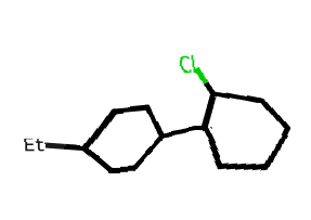 CCC1CCC([C]2CCCCC2Cl)CC1